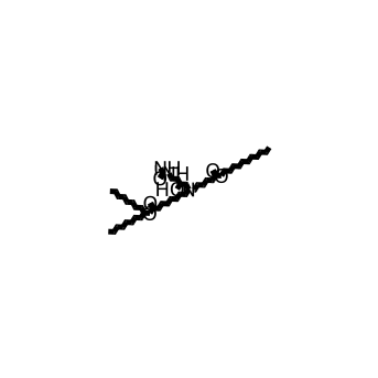 CCCCCCCCCCCOC(=O)CCCCCN(CCCCCCCC(=O)OC(CCCCCCCC)CCCCCCCC)CC(O)CCNC(=O)NC